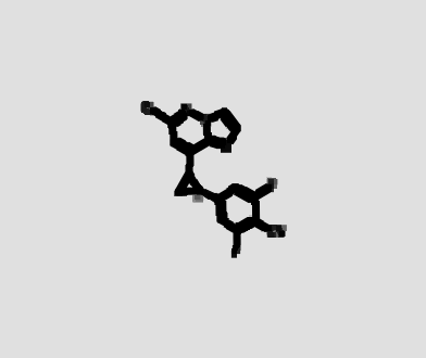 N#Cc1c(F)cc([C@H]2CC2c2cc(Cl)nn3ccnc23)cc1F